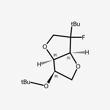 CC(C)(C)O[C@@H]1CO[C@H]2[C@@H]1OCC2(F)C(C)(C)C